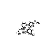 C[C@@H](O)CNc1nccc(-c2cn(CC#N)nc2-c2cc(O)cc(Cl)c2)n1